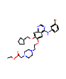 CCOC(=O)CN1CCN(CCOc2cc3c(Nc4cccc(Br)c4)ncnc3cc2OCC2CCCC2)CC1